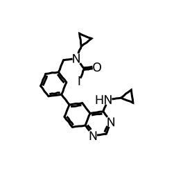 O=C(I)N(Cc1cccc(-c2ccc3ncnc(NC4CC4)c3c2)c1)C1CC1